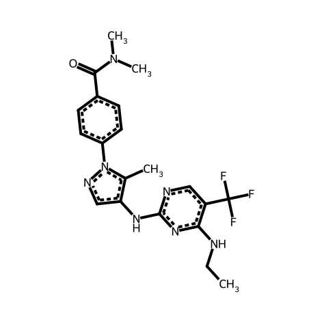 CCNc1nc(Nc2cnn(-c3ccc(C(=O)N(C)C)cc3)c2C)ncc1C(F)(F)F